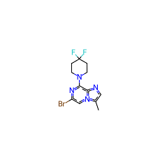 Cc1cnc2c(N3CCC(F)(F)CC3)nc(Br)cn12